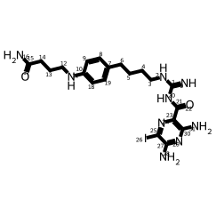 N=C(NCCCCc1ccc(NCCCC(N)=O)cc1)NC(=O)c1nc(I)c(N)nc1N